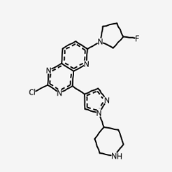 FC1CCN(c2ccc3nc(Cl)nc(-c4cnn(C5CCNCC5)c4)c3n2)C1